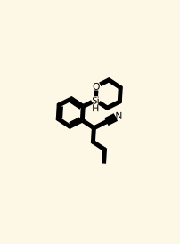 CCCC(C#N)c1ccccc1[SiH]1CCCCO1